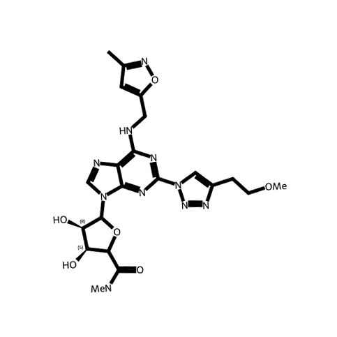 CNC(=O)C1OC(n2cnc3c(NCc4cc(C)no4)nc(-n4cc(CCOC)nn4)nc32)[C@H](O)[C@@H]1O